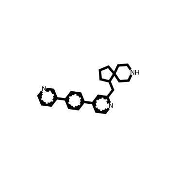 c1cncc(-c2ccc(-c3ccnc(CC4CCCC45CCNCC5)c3)cc2)c1